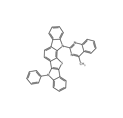 Cc1nc(-n2c3ccccc3c3ccc4c(sc5c6ccccc6n(-c6ccccc6)c45)c32)nc2ccccc12